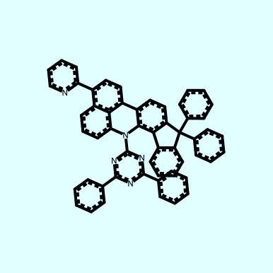 c1ccc(-c2nc(-c3ccccc3)nc(N3c4c(ccc5c4-c4ccccc4C5(c4ccccc4)c4ccccc4)-c4ccc(-c5ccccn5)c5cccc3c45)n2)cc1